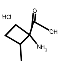 CC1CCC1(N)C(=O)O.Cl